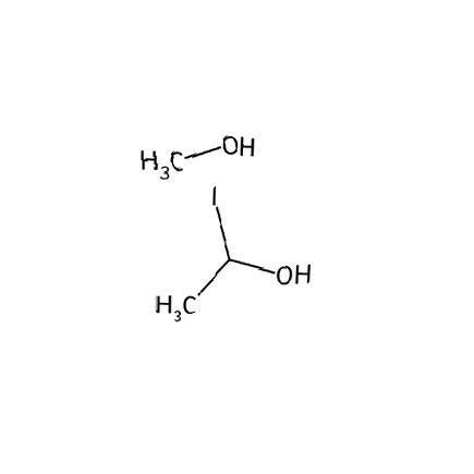 CC(O)I.CO